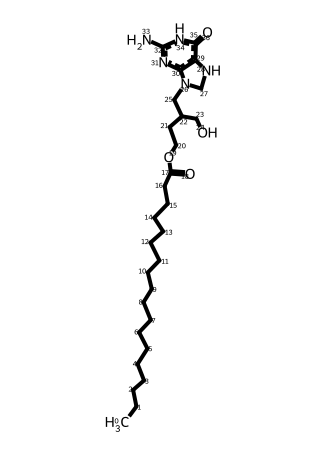 CCCCCCCCCCCCCCCCCC(=O)OCCC(CO)CN1CNc2c1nc(N)[nH]c2=O